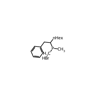 Br.CCCCCCC(Cc1ccccc1)P(C)C